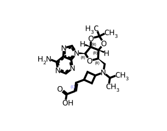 CC(C)N(C[C@H]1O[C@@H](n2cnc3c(N)ncnc32)[C@@H]2OC(C)(C)O[C@@H]21)C1CC(/C=C/C(=O)O)C1